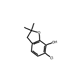 CC1(C)Cc2ccc(Cl)c(O)c2O1